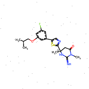 CC(C)COc1cc(F)cc(-c2cnc([C@]3(C)CC(=O)N(C)C(=N)N3)s2)c1